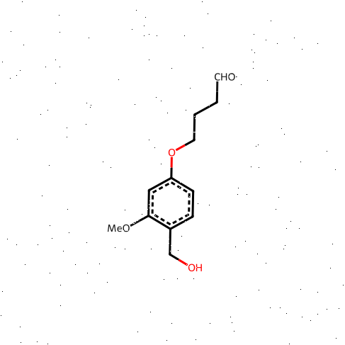 COc1cc(OCCC[C]=O)ccc1CO